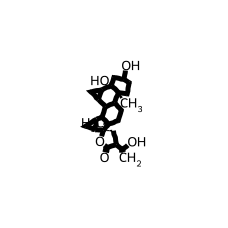 C=C(O)C1C[C@]2(OC1=O)C1CC1C1C3C4CC4C4(O)CC(O)CC[C@]4(C)C3CC[C@@]12C